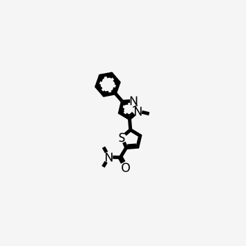 CN(C)C(=O)C1=CCC(c2cc(-c3ccccc3)nn2C)S1